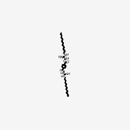 CCCCCCCCCCCCNC(=N)NOC(=O)c1ccc(C(=O)ONC(=N)NCCCCCCCCCCCC)cc1